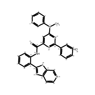 CN(c1cccnc1)c1cc(C(=O)Nc2ccccc2-c2nc3ccncc3s2)nc(-c2ccccc2)n1.Cl